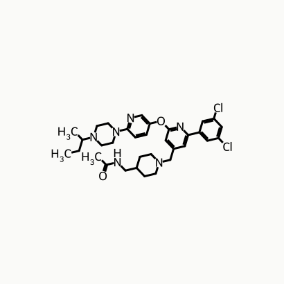 CCC(C)N1CCN(c2ccc(Oc3cc(CN4CCC(CNC(C)=O)CC4)cc(-c4cc(Cl)cc(Cl)c4)n3)cn2)CC1